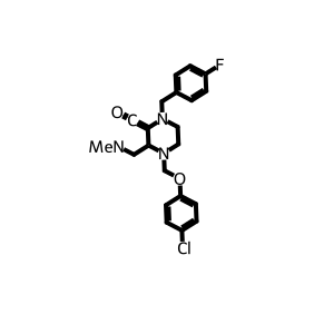 CNCC1C(=C=O)N(Cc2ccc(F)cc2)CCN1COc1ccc(Cl)cc1